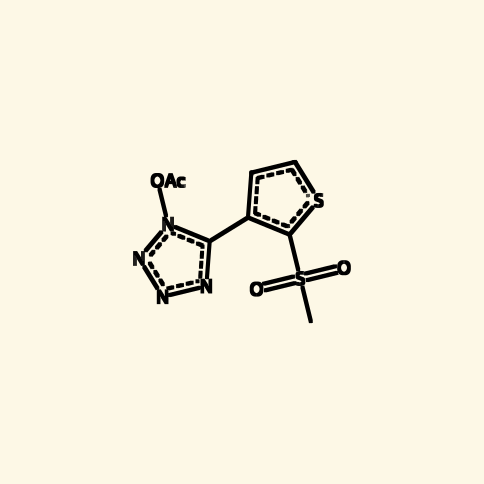 CC(=O)On1nnnc1-c1ccsc1S(C)(=O)=O